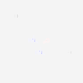 CCc1cccc(NC(=O)Nc2cccc(C=O)c2)c1